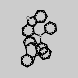 c1ccc(N(c2cccc3c2-c2c4cccc2-c2cccc-3c2-c2ccccc2-4)c2cccc3oc4ccccc4c23)cc1